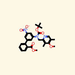 COC(=O)c1ccccc1-c1cc(N(Cc2ncc(C)c(OC)c2C)C(=O)OC(C)(C)C)cc([N+](=O)[O-])c1